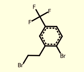 FC(F)(F)c1ccc(Br)c(CCBr)c1